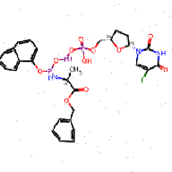 C[C@H](NP(OPOP(=O)(O)OC[C@@H]1CC[C@H](n2cc(F)c(=O)[nH]c2=O)O1)Oc1cccc2ccccc12)C(=O)OCc1ccccc1